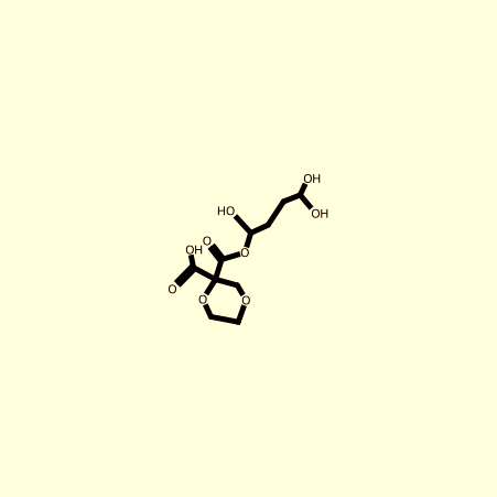 O=C(O)C1(C(=O)OC(O)CCC(O)O)COCCO1